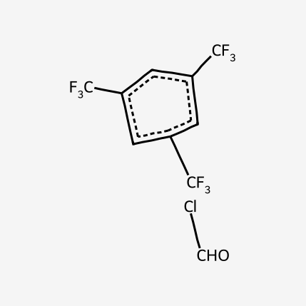 FC(F)(F)c1cc(C(F)(F)F)cc(C(F)(F)F)c1.O=CCl